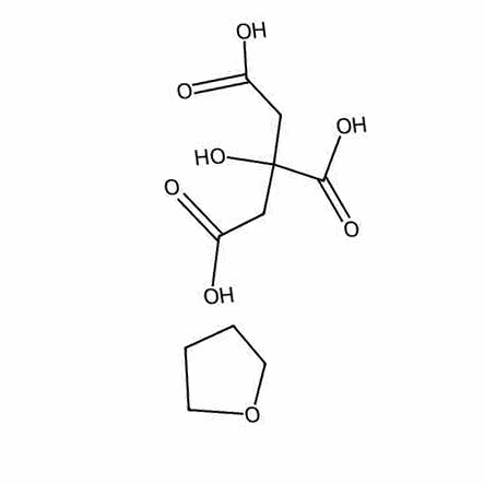 C1CCOC1.O=C(O)CC(O)(CC(=O)O)C(=O)O